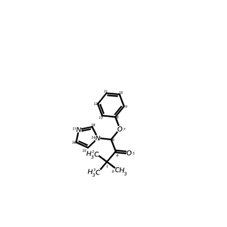 CC(C)(C)C(=O)C(Oc1ccccc1)n1ccnc1